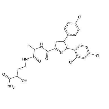 CC(NC(=O)C1=NN(c2ccc(Cl)cc2Cl)C(c2ccc(Cl)cc2)C1)C(=O)NCCC(O)C(N)=O